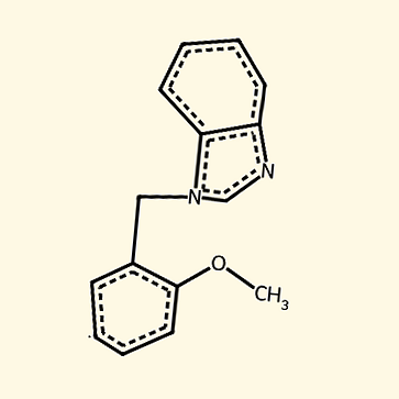 COc1cc[c]cc1Cn1cnc2ccccc21